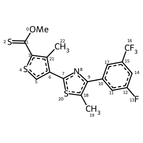 COC(=S)c1scc(-c2nc(-c3cc(F)cc(C(F)(F)F)c3)c(C)s2)c1C